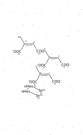 C/C(=C/C(=O)[O-])C(=O)[O-].C/C(=C/C(=O)[O-])C(=O)[O-].C/C(=C/C(=O)[O-])C(=O)[O-].CCCCC[CH2][Sn+3].CCCCC[CH2][Sn+3]